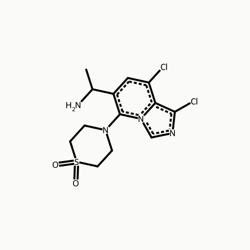 CC(N)c1cc(Cl)c2c(Cl)ncn2c1N1CCS(=O)(=O)CC1